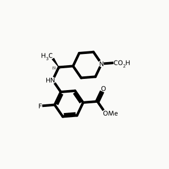 COC(=O)c1ccc(F)c(N[C@@H](C)C2CCN(C(=O)O)CC2)c1